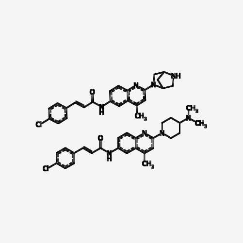 Cc1cc(N2CC3CC2CN3)nc2ccc(NC(=O)C=Cc3ccc(Cl)cc3)cc12.Cc1cc(N2CCC(N(C)C)CC2)nc2ccc(NC(=O)C=Cc3ccc(Cl)cc3)cc12